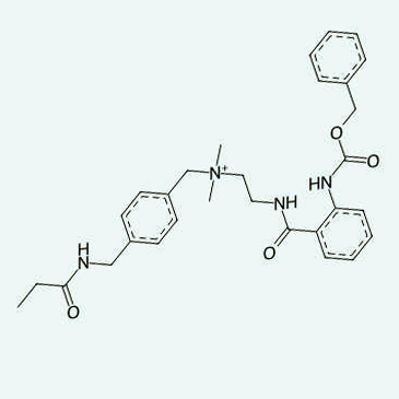 CCC(=O)NCc1ccc(C[N+](C)(C)CCNC(=O)c2ccccc2NC(=O)OCc2ccccc2)cc1